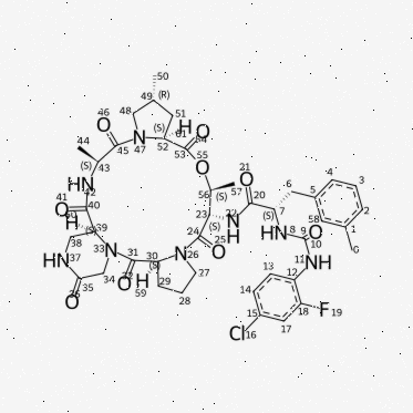 Cc1cccc(C[C@H](NC(=O)Nc2ccc(Cl)cc2F)C(=O)N[C@@H]2C(=O)N3CCC[C@H]3C(=O)N3CC(=O)NC[C@H]3C(=O)N[C@@H](C)C(=O)N3C[C@H](C)C[C@H]3C(=O)O[C@H]2C)c1